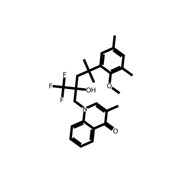 COc1c(C)cc(C)cc1C(C)(C)CC(O)(Cn1cc(C)c(=O)c2ccccc21)C(F)(F)F